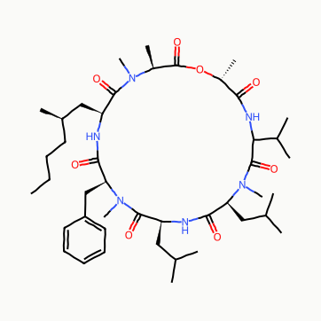 CCCC[C@@H](C)C[C@@H]1NC(=O)[C@H](Cc2ccccc2)N(C)C(=O)[C@H](CC(C)C)NC(=O)[C@H](CC(C)C)N(C)C(=O)C(C(C)C)NC(=O)[C@@H](C)OC(=O)[C@H](C)N(C)C1=O